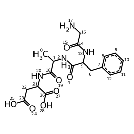 CC(NC(=O)C(Cc1ccccc1)NC(=O)CN)C(=O)NC(CC(=O)O)C(=O)O